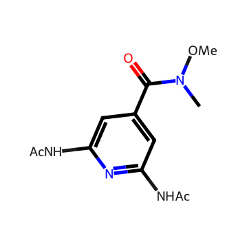 CON(C)C(=O)c1cc(NC(C)=O)nc(NC(C)=O)c1